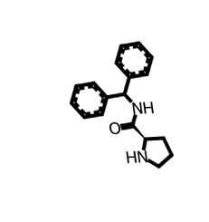 O=C(NC(c1ccccc1)c1ccccc1)[C@H]1CCCN1